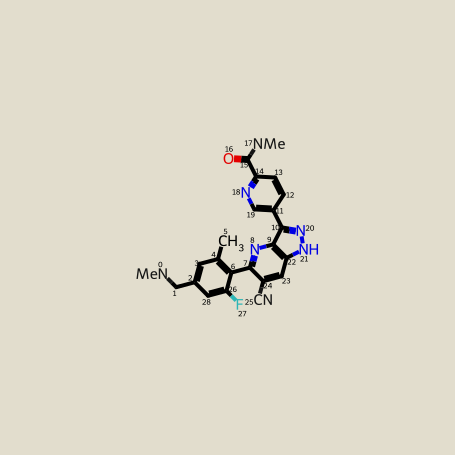 CNCc1cc(C)c(-c2nc3c(-c4ccc(C(=O)NC)nc4)n[nH]c3cc2C#N)c(F)c1